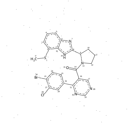 CSc1cccc2nc(C3CCCN3C(=O)c3cncnc3-c3ccc(Br)c(Cl)c3)[nH]c12